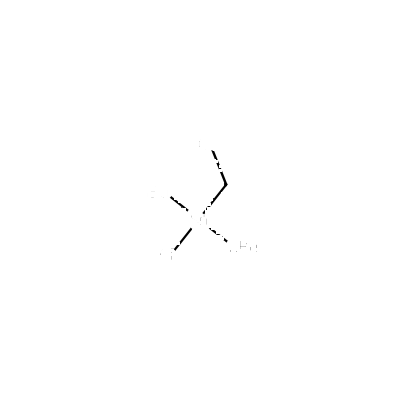 CCC[CH2][Sn]([Cl])([CH2]Cl)[CH2]CCC